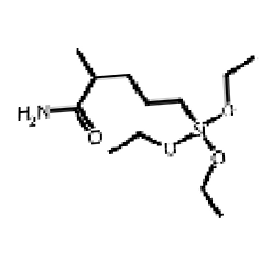 CCO[Si](CCCC(C)C(N)=O)(OCC)OCC